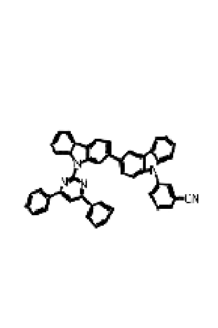 N#Cc1cccc(-n2c3ccccc3c3cc(-c4ccc5c6ccccc6n(-c6nc(-c7ccccc7)cc(-c7ccccc7)n6)c5c4)ccc32)c1